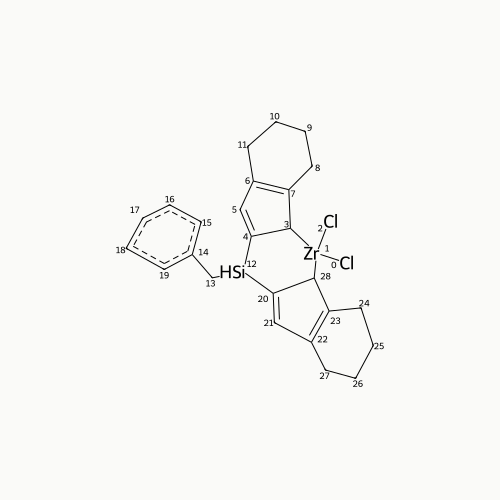 [Cl][Zr]1([Cl])[CH]2C(=CC3=C2CCCC3)[SiH](Cc2ccccc2)C2=CC3=C(CCCC3)[CH]21